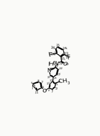 Cc1ccc(Oc2cccnc2)cc1-c1ccc(NC(=O)c2c(F)cccc2F)nc1